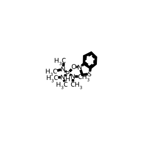 CN(C)[PH](ON1CSc2ccccc21)(N(C)C)N(C)C